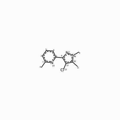 Cc1cccc(-c2nn(C)c(C)c2Cl)n1